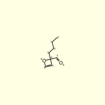 [CH2]CCCC1(C=O)C=CO1